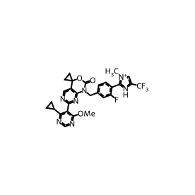 COc1ncnc(C2CC2)c1-c1ncc2c(n1)N(Cc1ccc(-c3[nH]c(C(F)(F)F)c[n+]3C)c(F)c1)C(=O)OC21CC1